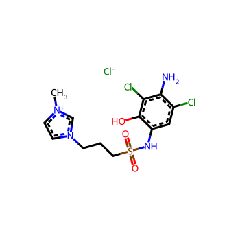 C[n+]1ccn(CCCS(=O)(=O)Nc2cc(Cl)c(N)c(Cl)c2O)c1.[Cl-]